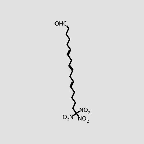 O=[C]CCCCC=CCC=CCC=CCCCCC([N+](=O)[O-])([N+](=O)[O-])[N+](=O)[O-]